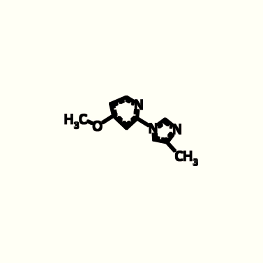 COc1ccnc(-n2cnc(C)c2)c1